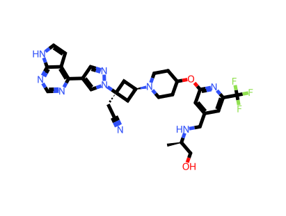 C[C@H](CO)NCc1cc(OC2CCN([C@H]3C[C@@](CC#N)(n4cc(-c5ncnc6[nH]ccc56)cn4)C3)CC2)nc(C(F)(F)F)c1